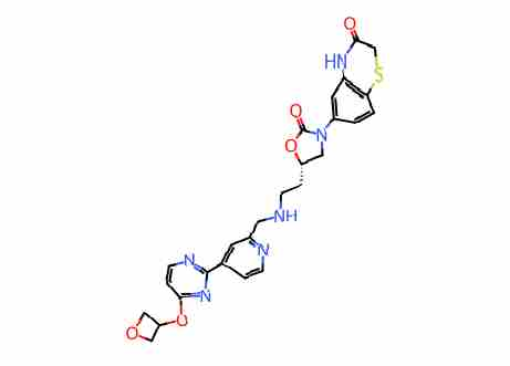 O=C1CSc2ccc(N3C[C@H](CCNCc4cc(-c5nccc(OC6COC6)n5)ccn4)OC3=O)cc2N1